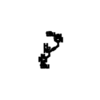 CC(C)(C)n1cc(CC#CC(N)Cc2cn(C(C)(C)C)nn2)nn1